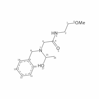 COCCNC(=O)CN(Cc1ccccc1)C(C)O